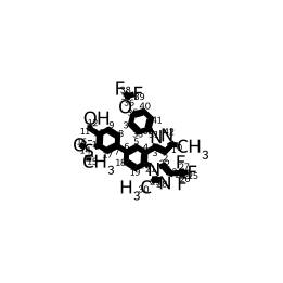 Cc1cc(-c2cc(-c3ccc(CO)c([S+](C)[O-])c3)ccc2-n2cc(C(F)(F)F)nc2C)n(-c2ccc(OC(F)F)cc2)n1